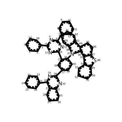 c1ccc(-c2nc(-c3ccccc3)nc(-c3cc(-c4nc(-c5ccccc5)c5ccccc5n4)ccc3-n3c4ccccc4c4ccc5sc6ccccc6c5c43)n2)cc1